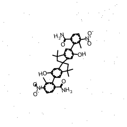 Cc1c([N+](=O)[O-])ccc(C(N)=O)c1-c1cc2c(cc1O)C1(CC2(C)C)CC(C)(C)c2cc(-c3c(C(N)=O)ccc([N+](=O)[O-])c3C)c(O)cc21